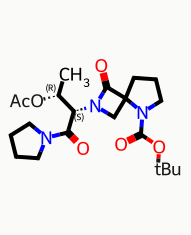 CC(=O)O[C@H](C)[C@@H](C(=O)N1CCCC1)N1CC2(CCCN2C(=O)OC(C)(C)C)C1=O